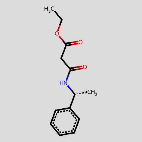 CCOC(=O)CC(=O)N[C@H](C)c1ccccc1